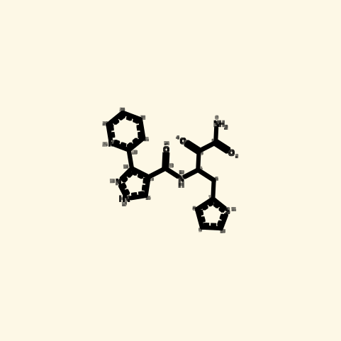 NC(=O)C(=O)C(Cc1cccs1)NC(=O)c1c[nH]nc1-c1ccccn1